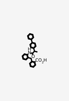 CC(C(=O)Nc1ccccc1Cc1ccccc1C(=O)O)c1ccc(-c2ccccc2)cc1